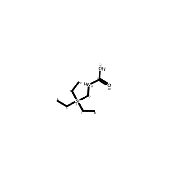 CC[Si](CC)(CC)CNC(=O)O